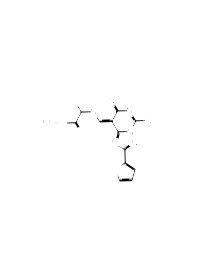 CCC(N/C=c1\c(=N)nc(N)n2nc(-c3ccco3)nc12)C(=O)OC